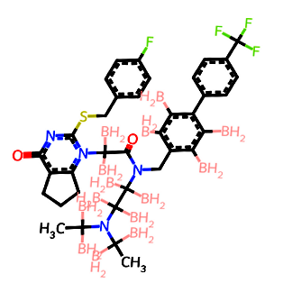 Bc1c(B)c(-c2ccc(C(F)(F)F)cc2)c(B)c(B)c1CN(C(=O)C(B)(B)n1c(SCc2ccc(F)cc2)nc(=O)c2c1CCC2)C(B)(B)C(B)(B)N(C(B)(B)C)C(B)(B)C